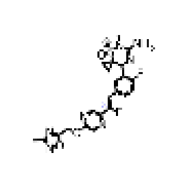 Cc1noc(COc2cnc(/C(F)=C/c3ccc(F)c(C4N=C(N)N(C)S(=O)(=O)C45CC5)c3)cn2)n1